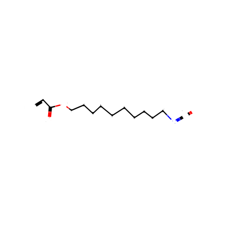 C=CC(=O)OCCCCCCCCCCN=C=O